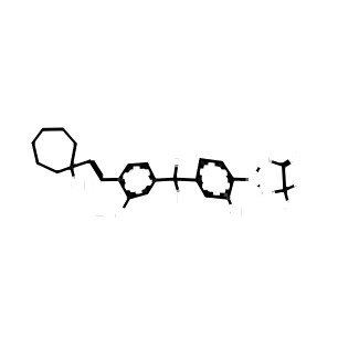 C=C1OB(c2ccc(C(CC)(CC)c3ccc(/C=C/C4(O)CCCCCC4)c(C)c3)cc2C)OC1(C)C